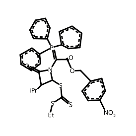 CCSC(=S)SC1C(C(C)C)C(=O)N1C(C(=O)OCc1ccc([N+](=O)[O-])cc1)=P(c1ccccc1)(c1ccccc1)c1ccccc1